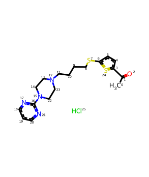 CC(=O)c1ccc(SCCCCN2CCN(c3ncccn3)CC2)s1.Cl